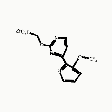 CCOC(=O)CSc1nccc(-c2ncccc2OC(F)(F)F)n1